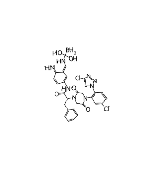 BC(O)(O)N/C=C1/C=C(NC(=O)C(Cc2ccccc2)N2CC(=O)N(c3cc(Cl)ccc3-n3cc(Cl)nn3)CC2=O)C=CC1=N